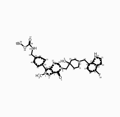 Cn1nc2c(=O)n(CC3(O)CCN(Cc4ccc(F)c5cc[nH]c45)CC3)cnc2c1-c1ccc(CNC(=O)OC(C)(C)C)cc1